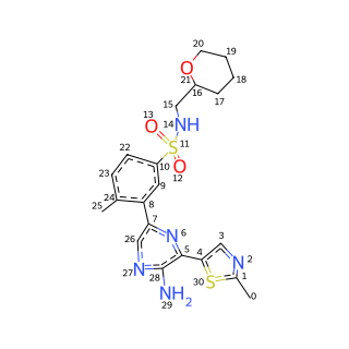 Cc1ncc(-c2nc(-c3cc(S(=O)(=O)NCC4CCCCO4)ccc3C)cnc2N)s1